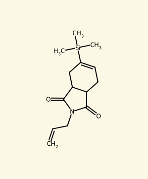 C=CCN1C(=O)C2CC=C([Si](C)(C)C)CC2C1=O